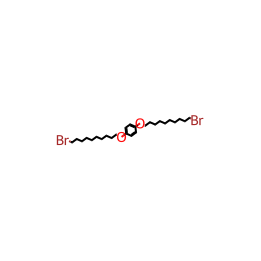 BrCCCCCCCCCCOc1ccc(OCCCCCCCCCCBr)cc1